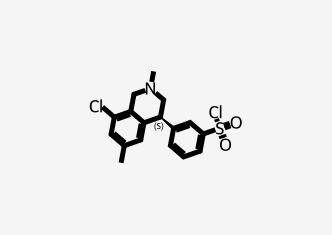 Cc1cc(Cl)c2c(c1)[C@H](c1cccc(S(=O)(=O)Cl)c1)CN(C)C2